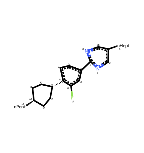 CCCCCCCc1cnc(-c2ccc([C@H]3CC[C@H](CCCCC)CC3)c(F)c2)nc1